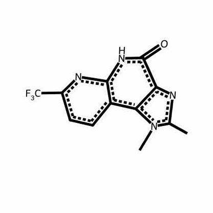 Cc1nc2c(=O)[nH]c3nc(C(F)(F)F)ccc3c2n1C